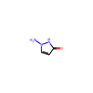 Nn1ccc(=O)[nH]1